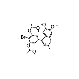 COc1cc2c(cc1OC)C(c1cc(OC(C)OC)c(Br)c(OC(C)OC)c1)=NC(C)C2